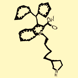 O=C(O)c1c(C(c2ccccc2)c2ccccc2)c2ccccc2n1CCCCC1CCNC1